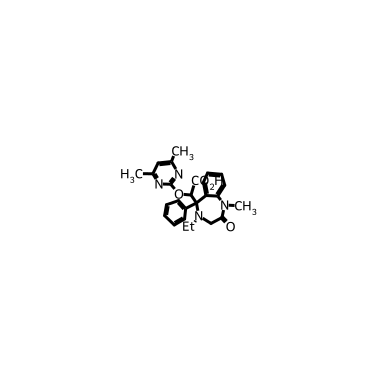 CCN1CC(=O)N(C)c2ccccc2C1(c1ccccc1)C(Oc1nc(C)cc(C)n1)C(=O)O